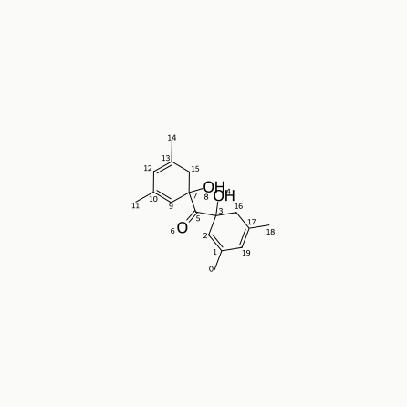 CC1=CC(O)(C(=O)C2(O)C=C(C)C=C(C)C2)CC(C)=C1